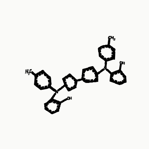 Cc1ccc(N(c2ccc(-c3ccc(N(c4ccc(C)cc4)c4ccccc4O)cc3)cc2)c2ccccc2O)cc1